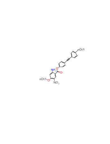 CCCCCCCCOc1cc(N)c(C(=O)Oc2ccc(C#Cc3ccc(CCCCCCCC)cc3)cc2)cc1[N+](=O)[O-]